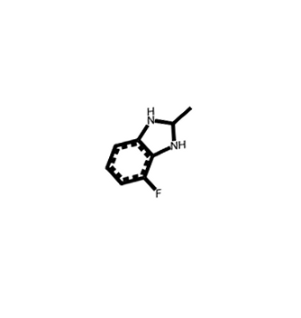 CC1Nc2cccc(F)c2N1